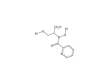 CCOCC(C(=O)O)N(OCC)C(=O)c1ccccn1